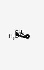 CC(C)(CO)CCCOCc1ccccc1